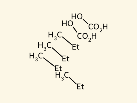 CCC.CCC.CCC.CCC.O=C(O)O.O=C(O)O